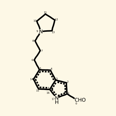 O=Cc1cc2cc(CCCN3CCCC3)ccc2[nH]1